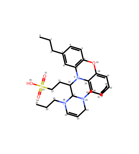 CCCc1ccc2c(c1)N(C(CCS(=O)(=O)O)C1N(CCC)C=CCN1CCC)c1ccccc1O2